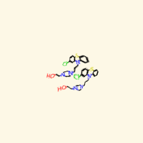 OCCN1CCN(CCCN2c3ccccc3Sc3ccc(Cl)cc32)CC1.OCCN1CCN(CCCN2c3ccccc3Sc3ccc(Cl)cc32)CC1